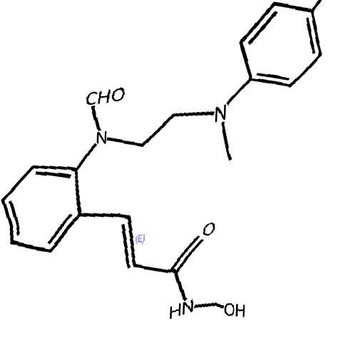 CN(CCN(C=O)c1ccccc1/C=C/C(=O)NO)c1ccc(F)cc1